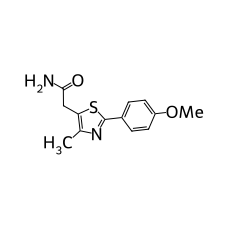 COc1ccc(-c2nc(C)c(CC(N)=O)s2)cc1